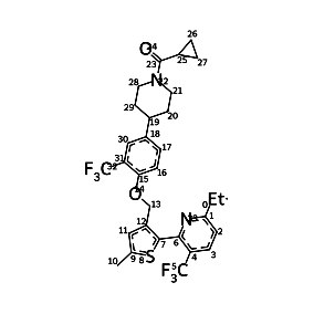 C[CH]c1ccc(C(F)(F)F)c(-c2sc(C)cc2COc2ccc(C3CCN(C(=O)C4CC4)CC3)cc2C(F)(F)F)n1